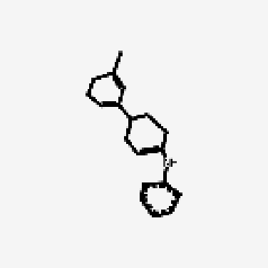 CC1=CC(C2CC=C(Nc3ccccc3)CC2)=CCC1